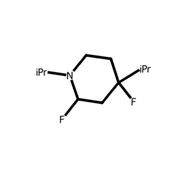 CC(C)N1CCC(F)(C(C)C)CC1F